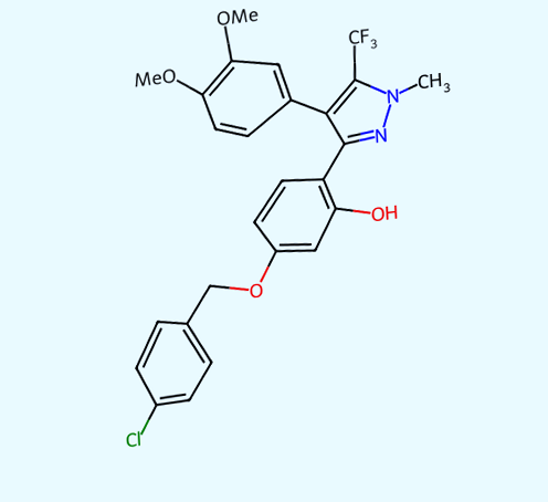 COc1ccc(-c2c(-c3ccc(OCc4ccc(Cl)cc4)cc3O)nn(C)c2C(F)(F)F)cc1OC